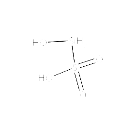 O=S(=O)(O)[SiH2]O